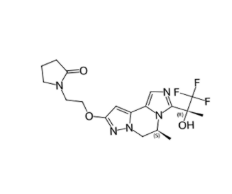 C[C@H]1Cn2nc(OCCN3CCCC3=O)cc2-c2cnc([C@@](C)(O)C(F)(F)F)n21